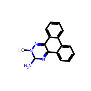 CN1N=c2c(c3ccccc3c3ccccc23)=NC1N